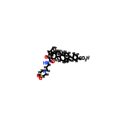 CC(C)[C@@H]1CC[C@]2(C(=O)C(=O)NCCCN3CCS(=O)(=O)CC3)CC[C@]3(C)[C@H](CC[C@@H]4[C@@]5(C)CC=C(c6ccc(C(=O)O)cc6)C(C)(C)[C@@H]5CC[C@]43C)[C@@H]12